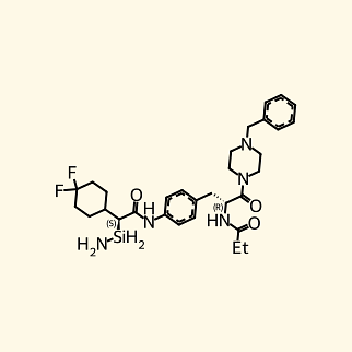 CCC(=O)N[C@H](Cc1ccc(NC(=O)[C@@H]([SiH2]N)C2CCC(F)(F)CC2)cc1)C(=O)N1CCN(Cc2ccccc2)CC1